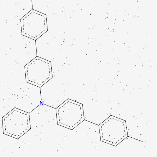 Cc1ccc(-c2ccc(N(c3ccccc3)c3ccc(-c4ccc(C)cc4)cc3)cc2)cc1